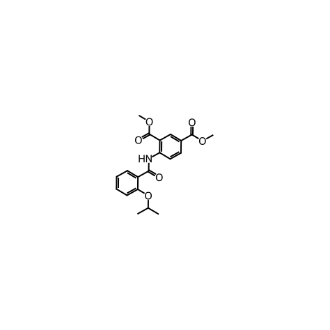 COC(=O)c1ccc(NC(=O)c2ccccc2OC(C)C)c(C(=O)OC)c1